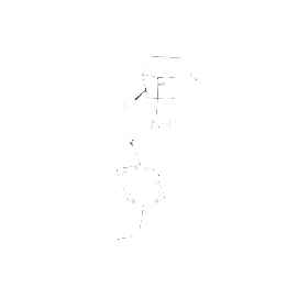 O=C(N[C@H]1CN2CCC1CC2)c1cc2c(cn1)OCO2